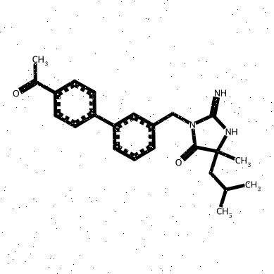 CC(=O)c1ccc(-c2cccc(CN3C(=N)NC(C)(CC(C)C)C3=O)c2)cc1